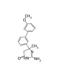 COc1cccc(-c2cccc(C3(C)CC(=O)NC(N)=N3)c2)c1